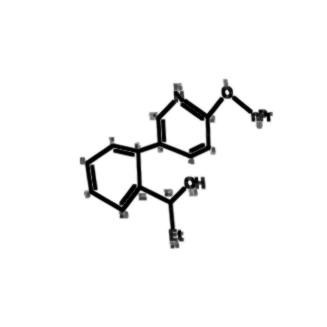 CCCOc1ccc(-c2ccccc2C(O)CC)cn1